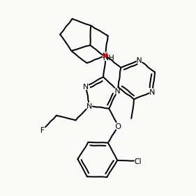 Cc1cc(N2CC3CCC(C2)C3Nc2nc(Oc3ccccc3Cl)n(CCF)n2)ncn1